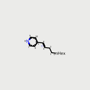 CCCCCCCC/C=C/c1ccncc1